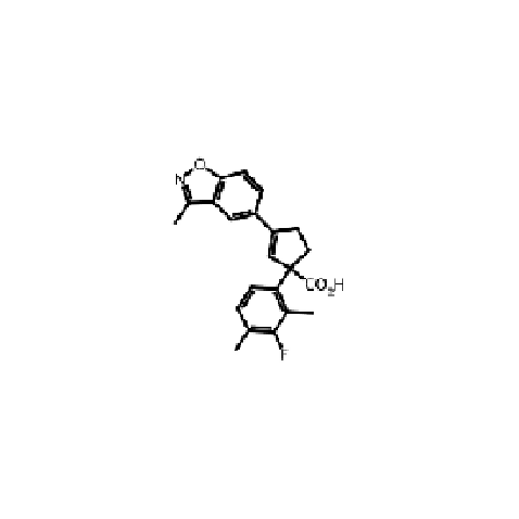 Cc1ccc(C2(C(=O)O)C=C(c3ccc4onc(C)c4c3)CC2)c(C)c1F